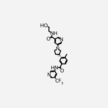 Cc1ccc(C(=O)Nc2cncc(C(F)(F)F)c2)cc1[C@@H]1CCN(c2cncc(C(=O)NCCO)c2)C1